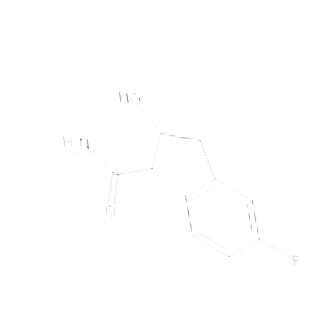 NC(=O)C1c2ccc(F)cc2CC1O